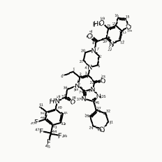 CCc1c(N2CCN(C(=O)c3ncc4occc4c3O)CC2)c(=O)n2nc(C3=CCOCC3)nc2n1CC(=O)Nc1ccc(C(F)(F)F)c(F)c1C